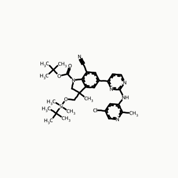 Cc1ncc(Cl)cc1Nc1nccc(-c2cc(C#N)c3c(c2)C(C)(CO[Si](C)(C)C(C)(C)C)CN3C(=O)OC(C)(C)C)n1